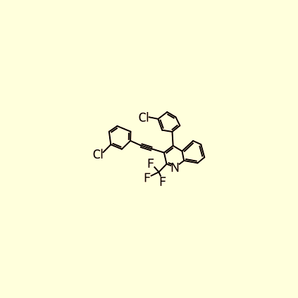 FC(F)(F)c1nc2ccccc2c(-c2cccc(Cl)c2)c1C#Cc1cccc(Cl)c1